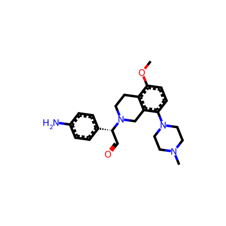 COc1ccc(N2CCN(C)CC2)c2c1CCN([C@H](C=O)c1ccc(N)cc1)C2